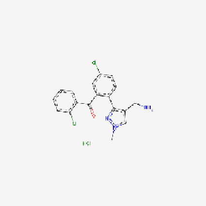 Cl.Cn1cc(CN)c(-c2ccc(Cl)cc2C(=O)c2ccccc2Cl)n1